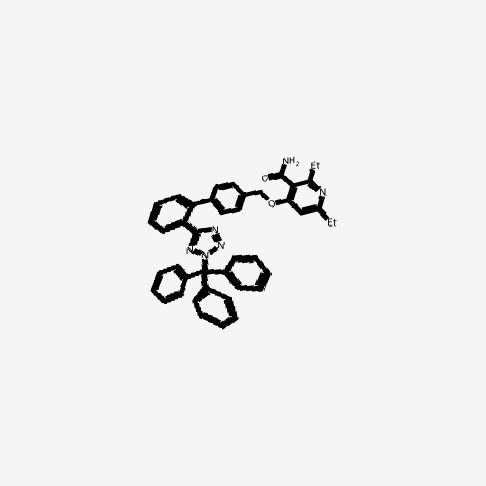 CCc1cc(OCc2ccc(-c3ccccc3-c3nnn(C(c4ccccc4)(c4ccccc4)c4ccccc4)n3)cc2)c(C(N)=O)c(CC)n1